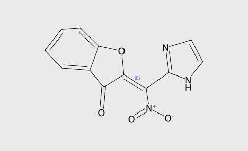 O=C1/C(=C(/c2ncc[nH]2)[N+](=O)[O-])Oc2ccccc21